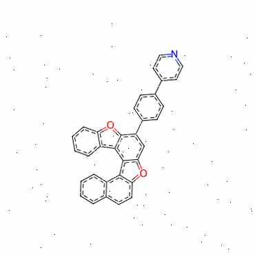 c1ccc2c(c1)ccc1oc3cc(-c4ccc(-c5ccncc5)cc4)c4oc5ccccc5c4c3c12